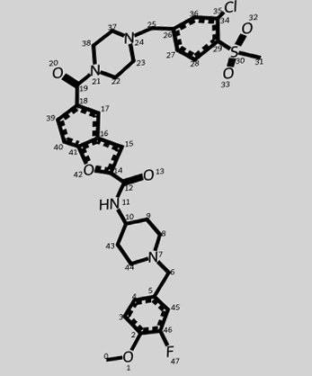 COc1ccc(CN2CCC(NC(=O)c3cc4cc(C(=O)N5CCN(Cc6ccc(S(C)(=O)=O)c(Cl)c6)CC5)ccc4o3)CC2)cc1F